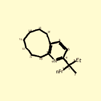 CCCC(C)(CC)c1ccc2c(n1)CCCCCCC2